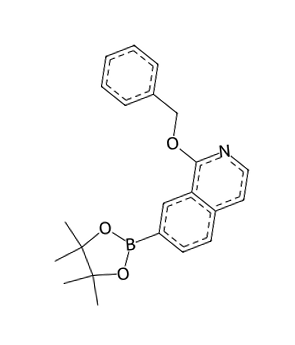 CC1(C)OB(c2ccc3ccnc(OCc4ccccc4)c3c2)OC1(C)C